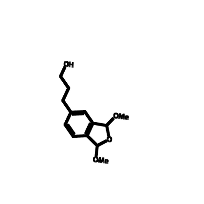 COC1OC(OC)c2cc(CCCO)ccc21